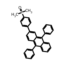 CP(C)(=O)c1ccc(-c2ccc3c(-c4ccccc4)c4ccccc4c(-c4ccccc4)c3c2)cc1